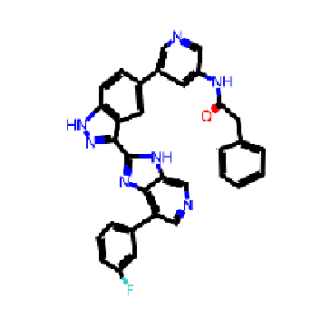 O=C(Cc1[c]cccc1)Nc1cncc(-c2ccc3[nH]nc(-c4nc5c(-c6cccc(F)c6)cncc5[nH]4)c3c2)c1